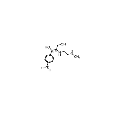 CNCCN[C@H](CO)[C@H](O)c1ccc([N+](=O)[O-])cc1